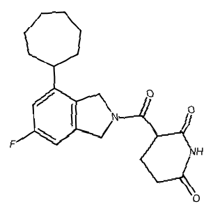 O=C1CCC(C(=O)N2Cc3cc(F)cc(C4CCCCCC4)c3C2)C(=O)N1